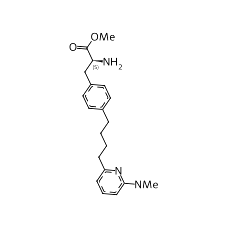 CNc1cccc(CCCCc2ccc(C[C@H](N)C(=O)OC)cc2)n1